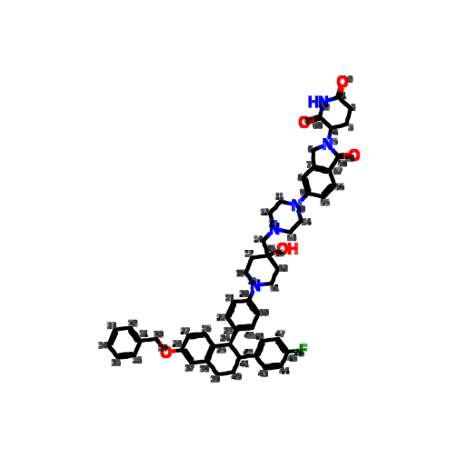 O=C1CCC(N2Cc3cc(N4CCN(CC5(O)CCN(c6ccc([C@@H]7c8ccc(OCc9ccccc9)cc8CCC7c7ccc(F)cc7)cc6)CC5)CC4)ccc3C2=O)C(=O)N1